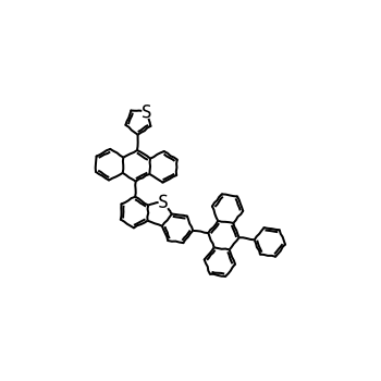 C1=CC2C(c3ccsc3)=c3ccccc3=C(c3cccc4c3sc3cc(-c5c6ccccc6c(-c6ccccc6)c6ccccc56)ccc34)C2C=C1